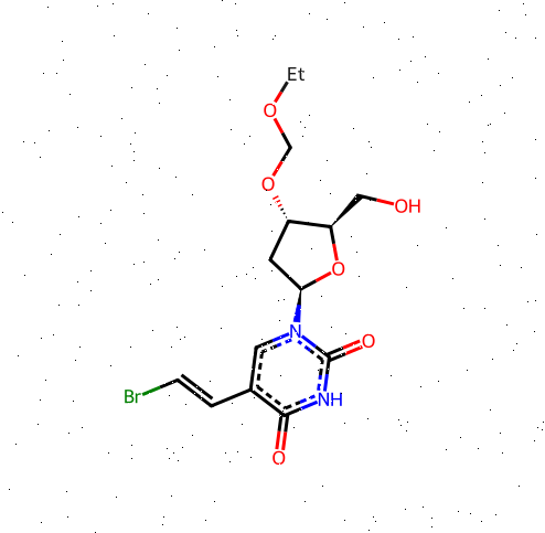 CCOCO[C@H]1C[C@H](n2cc(C=CBr)c(=O)[nH]c2=O)O[C@@H]1CO